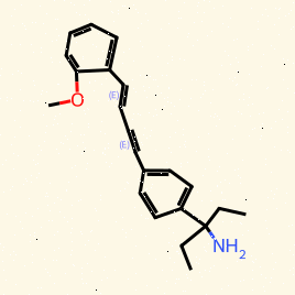 CCC(N)(CC)c1ccc(/C=C/C=C/c2ccccc2OC)cc1